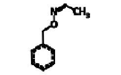 C/C=N\OCc1ccccc1